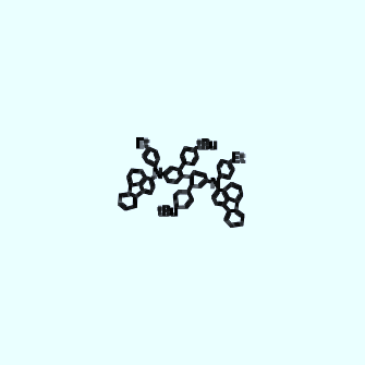 CCc1ccc(N(c2ccc(-c3ccc(N(c4ccc(CC)cc4)c4ccc5c6c(cccc46)-c4ccccc4-5)cc3-c3ccc(C(C)(C)C)cc3)c(-c3ccc(C(C)(C)C)cc3)c2)c2ccc3c4c(cccc24)-c2ccccc2-3)cc1